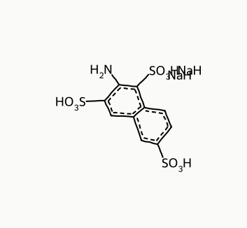 Nc1c(S(=O)(=O)O)cc2cc(S(=O)(=O)O)ccc2c1S(=O)(=O)O.[NaH].[NaH]